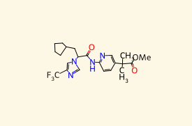 COC(=O)C(C)(C)c1ccc(NC(=O)C(CC2CCCC2)n2cnc(C(F)(F)F)c2)nc1